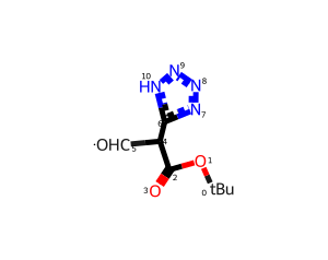 CC(C)(C)OC(=O)C([C]=O)c1nnn[nH]1